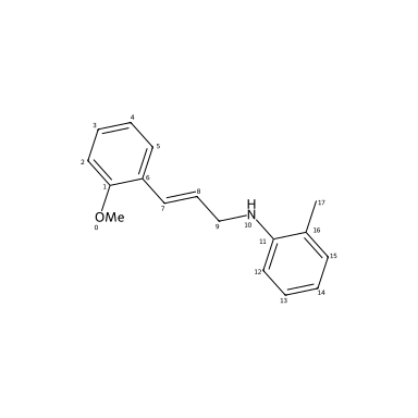 COc1ccccc1C=CCNc1ccccc1C